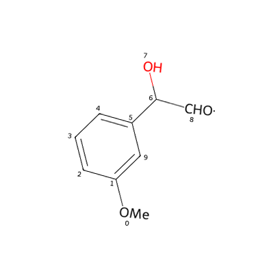 COc1cccc(C(O)[C]=O)c1